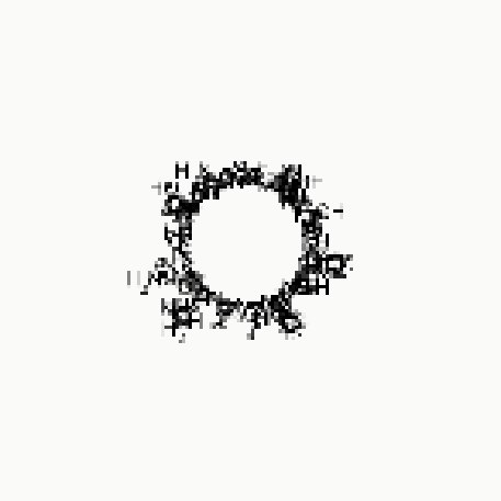 CCCC[C@H]1C(=O)N(C)[C@@H](CCCC)C(=O)N[C@@H](CCCNC(=N)N)C(=O)NC(C(=O)NCC(N)=O)CSCC(=O)N[C@@H](Cc2ccc(O)cc2)C(=O)N(C)[C@@H](C)C(=O)N[C@@H](CC(N)=O)C(=O)N2CCC[C@H]2C(=O)N[C@@H](Cc2cnc[nH]2)C(=O)N[C@H](CCO)C(=O)N2C[C@H](O)C[C@H]2C(=O)N[C@@H](Cc2c[nH]c3ccccc23)C(=O)N[C@@H](CO)C(=O)N[C@@H](Cc2c[nH]c3ccccc23)C(=O)N1C